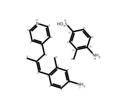 CC(=Cc1ccc(N)cc1C)Cc1ccncc1.Cc1cc(S(=O)(=O)O)ccc1N